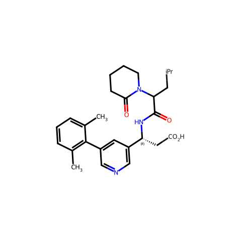 Cc1cccc(C)c1-c1cncc([C@@H](CC(=O)O)NC(=O)C(CC(C)C)N2CCCCC2=O)c1